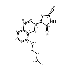 COCCOc1cccc2c1CN(C1CC(=O)NC1=O)C=N2